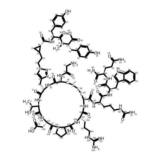 C[C@H](O)[C@H]1NC(=O)[C@H](Cc2cn(CCC3C[C@@H]3C(=O)N[C@@H](Cc3ccc(O)cc3)C(=O)N(C)[C@@H](Cc3ccc(O)cc3)C(=O)O)nn2)NC(=O)[C@@H](NC(=O)CN)CSSC[C@@H](C(=O)N[C@H](CCCNC(N)=O)C(=O)N[C@H](Cc2c[nH]c3ccccc23)C(=O)N[C@H](CCC(N)=O)C(N)=O)NC(=O)[C@H](CCCNC(=N)N)NC(=O)[C@H]2CCCN2C(=O)[C@H](CC(=O)O)NC1=O